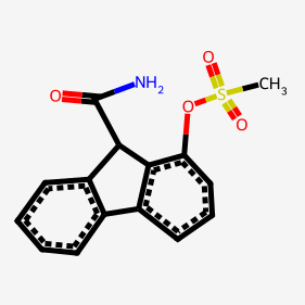 CS(=O)(=O)Oc1cccc2c1C(C(N)=O)c1ccccc1-2